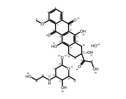 COc1cccc2c1C(=O)c1c(O)c3c(c(O)c1C2=O)C[C@@](O)(C(=O)CO)C[C@@H]3OC1CC(NCCO)C(O)C(C)O1.Cl